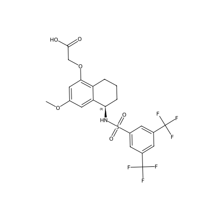 COc1cc(OCC(=O)O)c2c(c1)[C@H](NS(=O)(=O)c1cc(C(F)(F)F)cc(C(F)(F)F)c1)CCC2